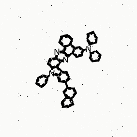 c1ccc(N(c2ccccc2)c2ccc3c(c2)c2ccccc2c2nc4ccc5c(c6ccc(-c7ccc8ccccc8c7)cc6n5-c5ccccc5)c4nc32)cc1